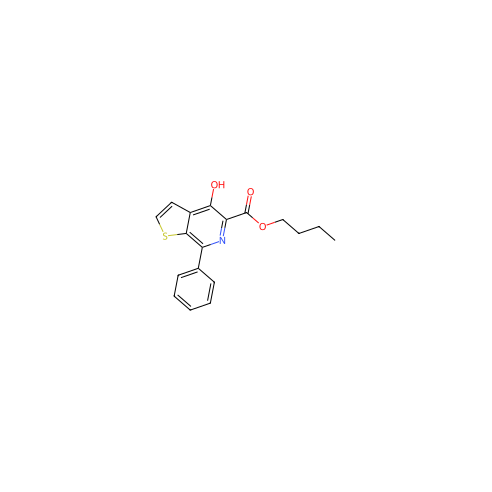 CCCCOC(=O)c1nc(-c2ccccc2)c2sccc2c1O